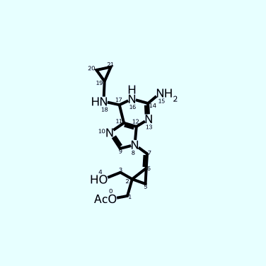 CC(=O)OCC1(CO)CC1=Cn1cnc2c1N=C(N)NC2NC1CC1